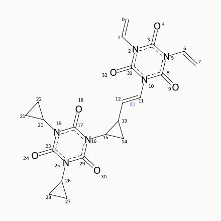 C=Cn1c(=O)n(C=C)c(=O)n(/C=C/C2CC2n2c(=O)n(C3CC3)c(=O)n(C3CC3)c2=O)c1=O